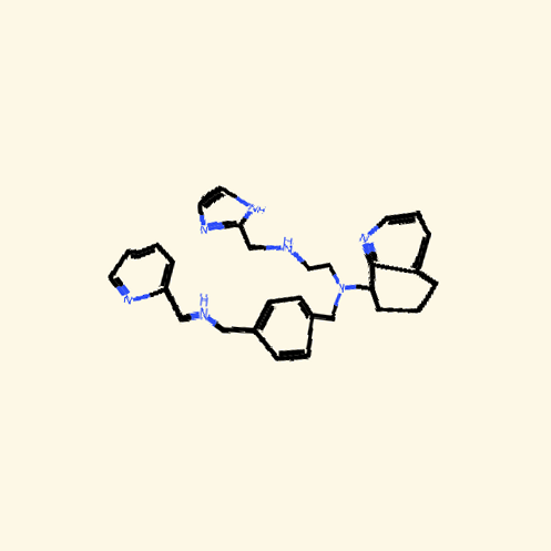 c1ccc(CNCc2ccc(CN(CCNCc3ncc[nH]3)C3CCCc4cccnc43)cc2)nc1